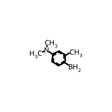 Bc1ccc(N(C)C)cc1C